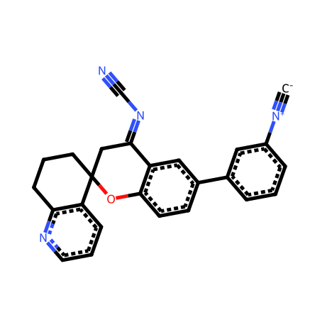 [C-]#[N+]c1cccc(-c2ccc3c(c2)/C(=N/C#N)CC2(CCCc4ncccc42)O3)c1